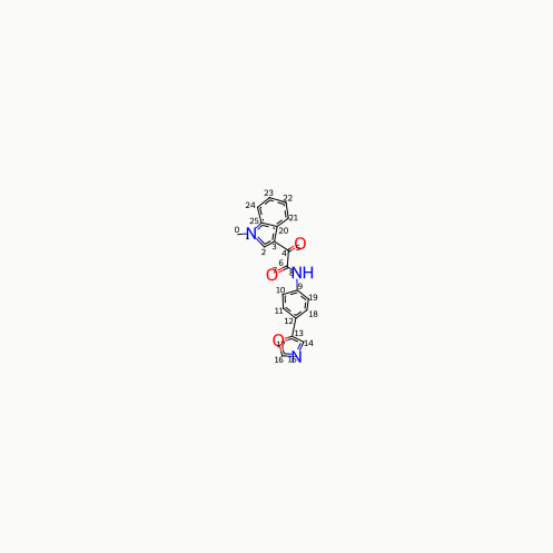 Cn1cc(C(=O)C(=O)Nc2ccc(-c3cnco3)cc2)c2ccccc21